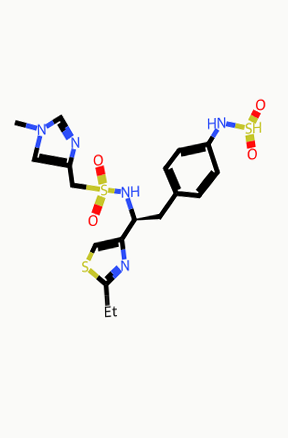 CCc1nc([C@H](Cc2ccc(N[SH](=O)=O)cc2)NS(=O)(=O)Cc2cn(C)cn2)cs1